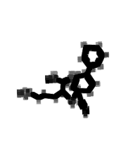 CCCCC(OC1(C#N)C=CC(c2ccccc2)=CC1)C(=O)O